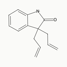 C=CCC1(CC=C)C(=O)[N]c2ccccc21